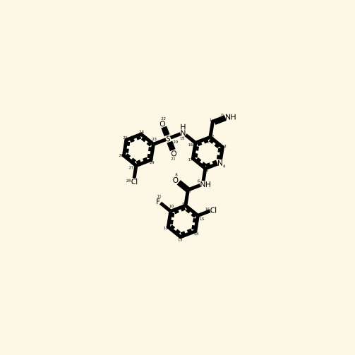 N=Cc1cnc(NC(=O)c2c(F)cccc2Cl)cc1NS(=O)(=O)c1cccc(Cl)c1